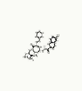 C=C(C)[C@H](CC)CN1CC[C@@H](CNC(=O)c2ccc3cc(Cl)ccc3c2)N[C@@H](CCN2CCCCC2)C1=O